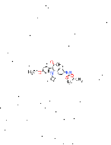 CCOc1ccc2c(C(C)=O)c(-c3ccc(NC(=O)OC(C)C)cc3)n(C3CCC3)c2c1